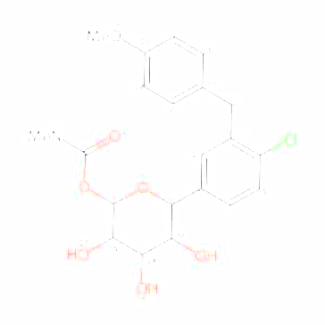 CNC(=O)OC1OC(c2ccc(Cl)c(Cc3ccc(OC)cc3)c2)C(O)C(O)C1O